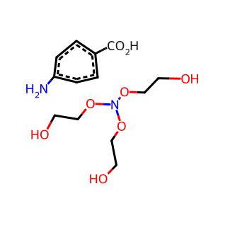 Nc1ccc(C(=O)O)cc1.OCCON(OCCO)OCCO